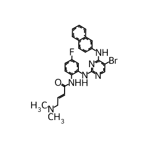 CN(C)C/C=C/C(=O)Nc1ccc(F)cc1Nc1ncc(Br)c(Nc2ccc3ccccc3c2)n1